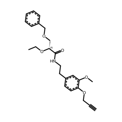 C#CCOc1ccc(CCNC(=O)[C@@H](COCc2ccccc2)OCC)cc1OC